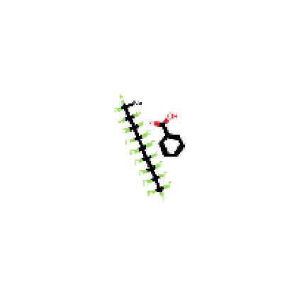 FC(F)(F)C(F)(F)C(F)(F)C(F)(F)C(F)(F)C(F)(F)C(F)(F)C(F)(F)[C](F)(F)[Na].O=C(O)c1ccccc1